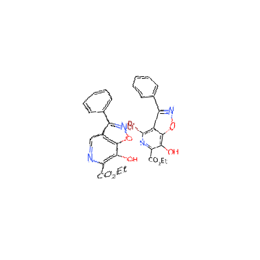 CCOC(=O)c1nc(Br)c2c(-c3ccccc3)noc2c1O.CCOC(=O)c1ncc2c(-c3ccccc3)noc2c1O